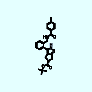 Cc1ccc(C(=O)NCc2ccccc2-c2[nH]nc3c2CN(C(=O)OC(C)(C)C)C3)cc1